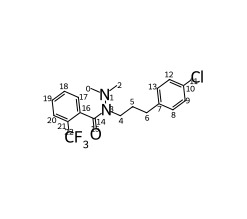 CN(C)N(CCCc1ccc(Cl)cc1)C(=O)c1ccccc1C(F)(F)F